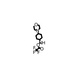 O=C(ONC1CCC(N2CCOCC2)CC1)C(F)(F)F